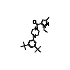 CCn1nc(C)cc1C(=O)N1CCN(c2cc(C(C)(C)C)cc(C(C)(C)C)c2)CC1